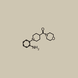 Nc1ccccc1N1CCC(C(=O)N2CCOCC2)CC1